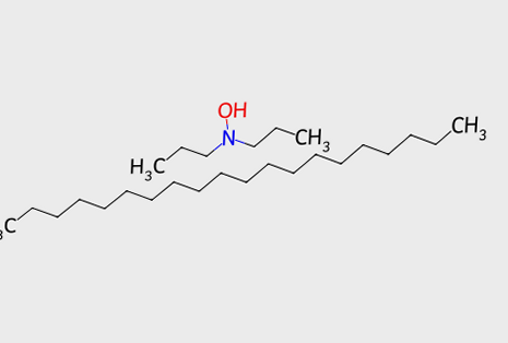 CCCCCCCCCCCCCCCCCCCC.CCCN(O)CCC